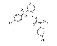 CN1CCC(N(C)C(=O)OC[C@@H]2CCCCN2S(=O)(=O)c2ccc(Cl)cc2)CC1